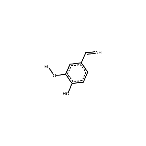 CCOc1cc(C=N)ccc1O